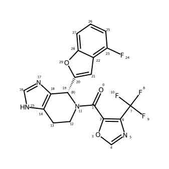 O=C(c1ocnc1C(F)(F)F)N1CCc2[nH]cnc2[C@@H]1c1cc2c(F)cccc2o1